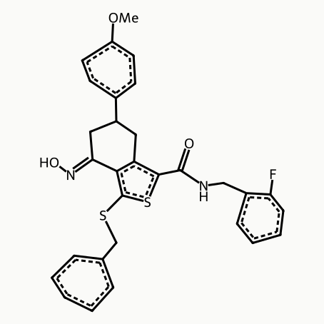 COc1ccc(C2C/C(=N\O)c3c(SCc4ccccc4)sc(C(=O)NCc4ccccc4F)c3C2)cc1